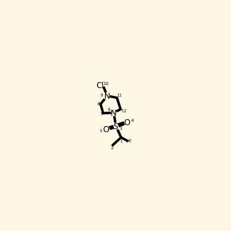 CC(C)S(=O)(=O)N1CCN(Cl)CC1